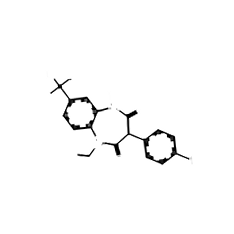 CCN1C(=O)C(c2ccc(I)cc2)C(=O)Nc2cc(C(F)(F)F)ccc21